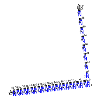 C#N.C#N.C#N.C#N.C#N.C#N.C#N.C#N.C#N.C#N.C#N.C#N.C#N.C#N.C#N.C#N.C#N.C#N.C#N.C#N.C#N.C#N.C#N.C#N.C#N.C#N.C#N.C#N.C#N.C#N.[Au].[Au]